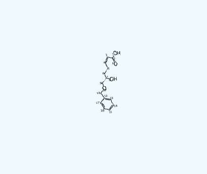 O=C(O)/C=C\CCC(O)COCc1ccccc1